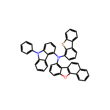 c1ccc(-n2c3ccccc3c3c(N(c4cccc5c4sc4ccccc45)c4cccc5oc6c7ccccc7ccc6c45)cccc32)cc1